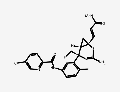 CNC(=O)/C=C/[C@]12C[C@H]1[C@@](CF)(c1cc(NC(=O)c3ccc(Cl)cn3)ccc1F)N=C(N)S2